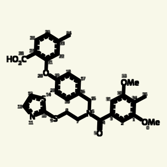 COc1cc(C(=O)N(CCSc2nccs2)Cc2ccc(Oc3cc(C)ccc3C(=O)O)cc2)cc(OC)c1C